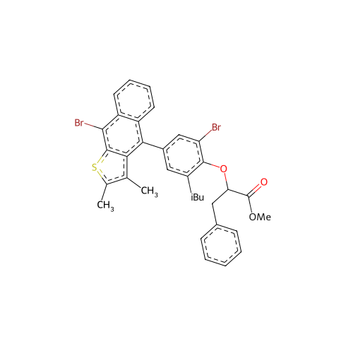 CCC(C)c1cc(-c2c3ccccc3c(Br)c3sc(C)c(C)c23)cc(Br)c1OC(Cc1ccccc1)C(=O)OC